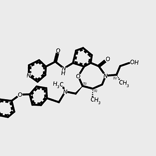 C[C@H]1CN([C@@H](C)CO)C(=O)c2cccc(NC(=O)c3ccncc3)c2O[C@@H]1CN(C)Cc1ccc(Oc2ccccc2)cc1